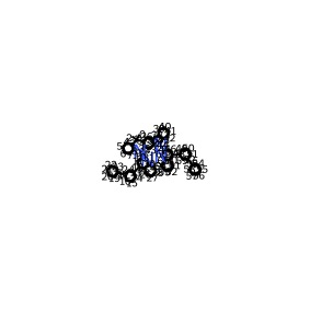 CC1(C)c2ccccc2N(c2cc(-c3cccc(-c4ccccc4)c3)c3ccccc3n2)c2cc3c(cc21)c1ccccc1n3-c1cc(-c2cccc(-c3ccccc3)c2)c2ccccc2n1